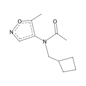 CC(=O)N(CC1CCC1)c1cnoc1C